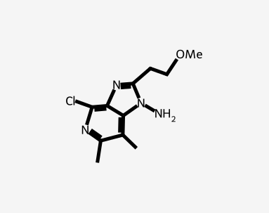 COCCc1nc2c(Cl)nc(C)c(C)c2n1N